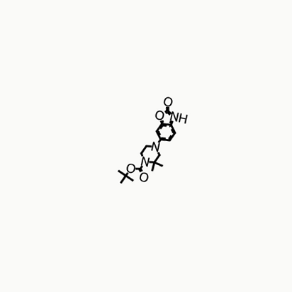 CC(C)(C)OC(=O)N1CCN(c2ccc3[nH]c(=O)oc3c2)CC1(C)C